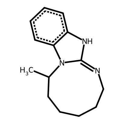 CC1CCCCC/N=C2/Nc3ccccc3N21